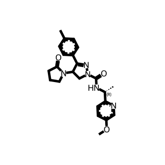 COc1ccc([C@@H](C)NC(=O)N2CC(N3CCCC3=O)C(c3ccc(C)cc3)=N2)nc1